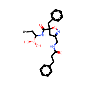 CC(C)CC(NC(=O)C1(Cc2ccccc2)CC(CNC(=O)CCc2ccccc2)=NO1)B(O)O